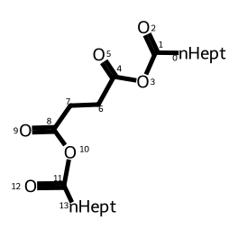 CCCCCCCC(=O)OC(=O)CCC(=O)OC(=O)CCCCCCC